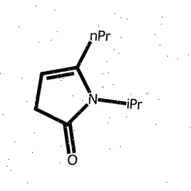 CCCC1=CCC(=O)N1C(C)C